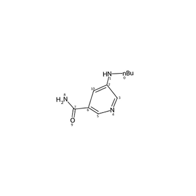 CCCCNc1cncc(C(N)=O)c1